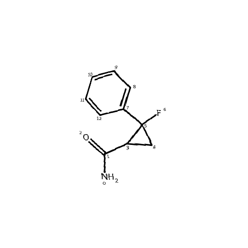 NC(=O)C1CC1(F)c1ccccc1